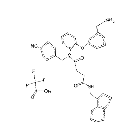 N#Cc1ccc(CN(C(=O)CCC(=O)NCc2cccc3ccccc23)c2ccccc2Oc2cccc(CN)c2)cc1.O=C(O)C(F)(F)F